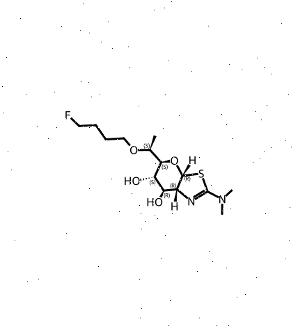 C[C@H](OCCCCF)[C@H]1O[C@@H]2SC(N(C)C)=N[C@@H]2[C@@H](O)[C@@H]1O